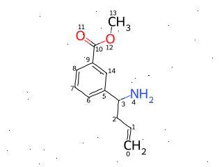 C=CCC(N)c1cccc(C(=O)OC)c1